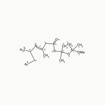 CO[Si](C)(C)O[Si](C)(C)OC(=O)C/C(C)=N/C(C)CC(C)=O